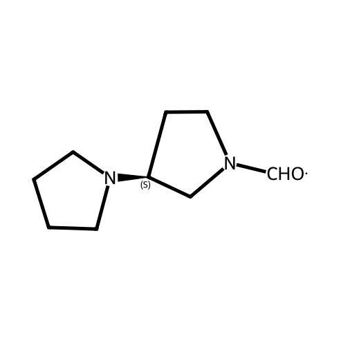 O=[C]N1CC[C@H](N2CCCC2)C1